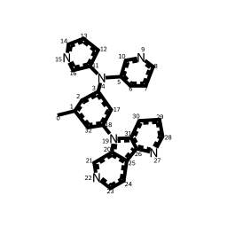 Cc1cc(N(c2cccnc2)c2cccnc2)cc(-n2c3cnccc3c3ncccc32)c1